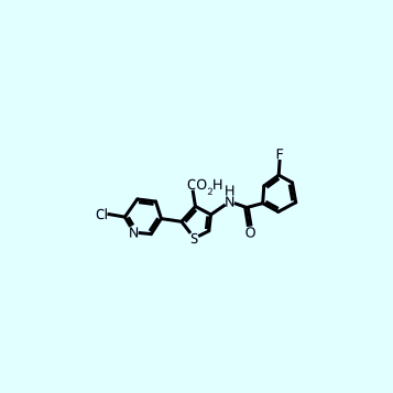 O=C(Nc1csc(-c2ccc(Cl)nc2)c1C(=O)O)c1cccc(F)c1